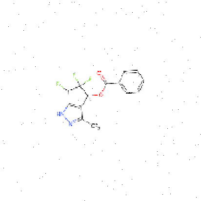 O=C(O[C@H]1c2c(C(F)(F)F)n[nH]c2C(F)C1(F)F)c1ccccc1